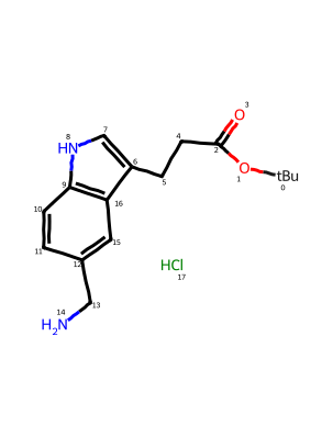 CC(C)(C)OC(=O)CCc1c[nH]c2ccc(CN)cc12.Cl